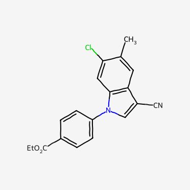 CCOC(=O)c1ccc(-n2cc(C#N)c3cc(C)c(Cl)cc32)cc1